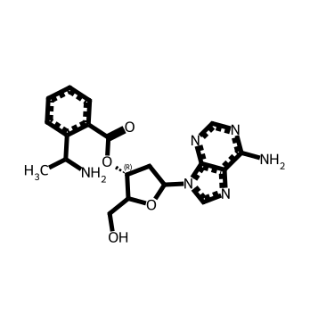 CC(N)c1ccccc1C(=O)O[C@@H]1CC(n2cnc3c(N)ncnc32)OC1CO